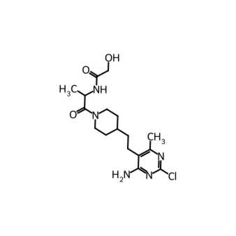 Cc1nc(Cl)nc(N)c1CCC1CCN(C(=O)C(C)NC(=O)CO)CC1